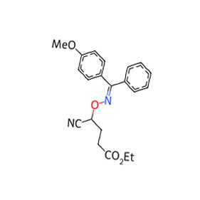 CCOC(=O)CCC(C#N)ON=C(c1ccccc1)c1ccc(OC)cc1